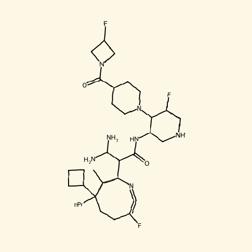 CCCC1(C2CCC2)CCC(F)=C=NC(C(C(=O)NC2CNCC(F)C2N2CCC(C(=O)N3CC(F)C3)CC2)C(N)N)C1C